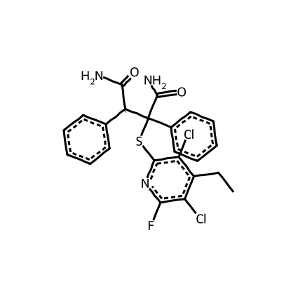 CCc1c(Cl)c(F)nc(SC([C](C(N)=O)c2ccccc2)(C(N)=O)c2ccccc2)c1Cl